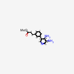 COC(=O)CCc1cccc(-c2cncc(N)c2N)c1